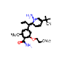 C=C/C(=C1/C=CC(C(C)(C)C#N)=CN1N)c1cc(OC)c(C(N)=O)c(OCCOC)c1